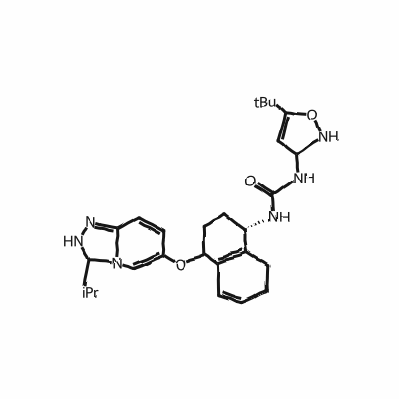 CC(C)C1NN=C2C=CC(OC3CC[C@H](NC(=O)NC4C=C(C(C)(C)C)ON4)C4=C3C=CCC4)=CN21